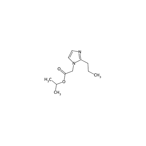 CCCc1nccn1CC(=O)OC(C)C